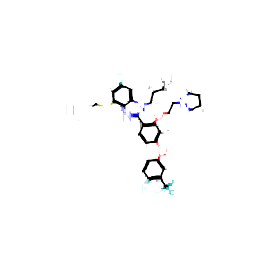 [CH2]CSc1cc(F)cc2c1nc(-c1ccc(Oc3ccc(F)c(C(F)(F)F)c3)cc1OCCN1CCCC1)n2CCCC